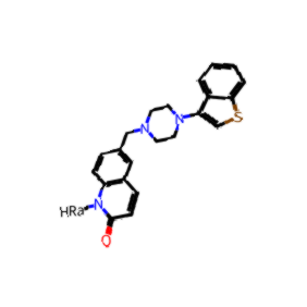 O=c1ccc2cc(CN3CCN(c4csc5ccccc45)CC3)ccc2[n]1[RaH]